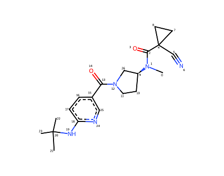 CN(C(=O)C1(C#N)CC1)[C@H]1CCN(C(=O)c2ccc(NC(C)(C)C)nc2)C1